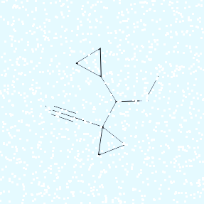 COC(C1CC1)C1(C#N)CC1